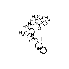 CC1(C)c2[nH]nc(NC(=O)C3(S(C)(C)C)CCC3)c2CN1C(=O)N[C@H](CO)Cc1ccccc1